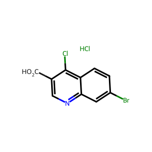 Cl.O=C(O)c1cnc2cc(Br)ccc2c1Cl